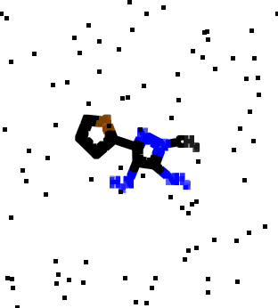 Cn1nc(-c2cccs2)c(N)c1N